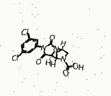 O=C1[C@@H]2[C@@H]3C[C@@H](CN3C(=O)O)N2C(=O)N1c1cc(Cl)cc(Cl)c1